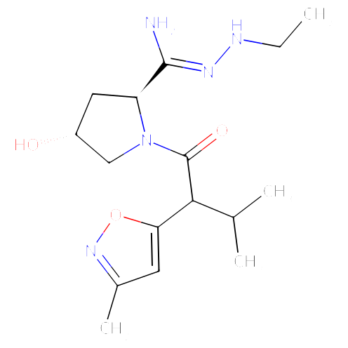 CCN/N=C(\N)[C@@H]1C[C@@H](O)CN1C(=O)C(c1cc(C)no1)C(C)C